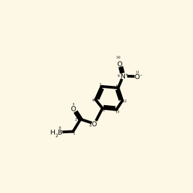 BCC(=O)Oc1ccc([N+](=O)[O-])cc1